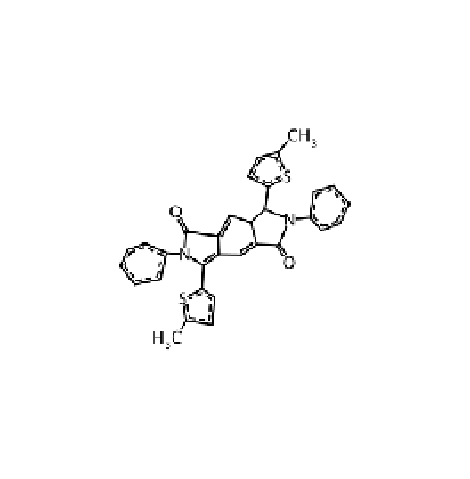 Cc1ccc(C2=C3C=C4C(=O)N(c5ccccc5)C(c5ccc(C)s5)C4C=C3C(=O)N2c2ccccc2)s1